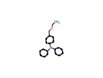 CCOCc1ccc(N(c2ccccc2)c2ccccc2)cc1